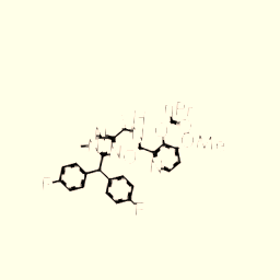 CCCC(=O)Oc1c(OC)ccnc1C(=O)N[C@@H](C)c1nc(C(c2ccc(F)cc2)c2ccc(F)cc2)n(C)n1